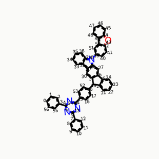 c1ccc(-c2nc(-c3ccccc3)nc(-c3ccc(C4c5ccccc5-c5cc6c(cc54)c4ccccc4n6-c4ccc5oc6ccccc6c5c4)cc3)n2)cc1